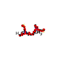 CC1(C)c2cc(-c3ccccc3)ccc2-c2ccc(N(c3ccc(-c4ccc(-c5ccc6sc7ccccc7c6c5)cc4)cc3)c3ccc(-c4ccc5c6c(cccc46)-c4cc(-c6cccc(-c7ccc8c(c7)C(C)(C)c7cc(N(c9ccc(-c%10ccc(-c%11ccc%12sc%13ccccc%13c%12c%11)cc%10)cc9)c9ccc(-c%10ccccc%10)c%10ccccc9%10)ccc7-8)c6)ccc4-5)cc3)cc21